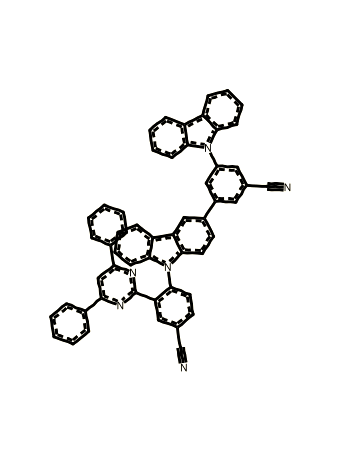 N#Cc1cc(-c2ccc3c(c2)c2ccccc2n3-c2ccc(C#N)cc2-c2nc(-c3ccccc3)cc(-c3ccccc3)n2)cc(-n2c3ccccc3c3ccccc32)c1